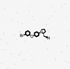 N#CC[C@@H]1CCCN1c1ccc(Oc2cccc(Br)c2)cc1